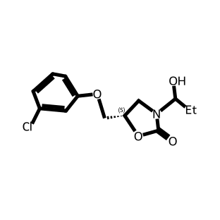 CCC(O)N1C[C@@H](COc2cccc(Cl)c2)OC1=O